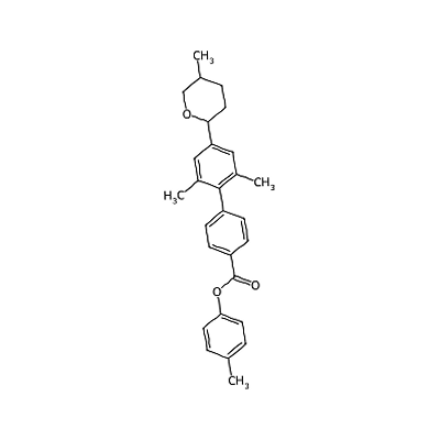 Cc1ccc(OC(=O)c2ccc(-c3c(C)cc(C4CCC(C)CO4)cc3C)cc2)cc1